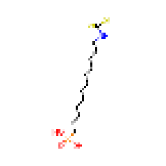 O=P(O)(O)CCCCCCCCCCCCNC(=S)S